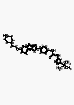 CC(C)(C)c1cc(NC(=O)Nc2ccc(-c3cn4c(n3)sc3nc(OCCC5CCNCC5)ccc34)cc2)no1